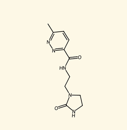 Cc1ccc(C(=O)NCCN2CCNC2=O)nn1